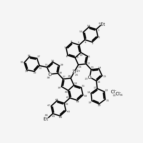 CCc1ccc(-c2cccc3c2C=C(c2ccc(-c4ccccc4)o2)[CH]3[Zr+2][CH]2C(c3ccc(-c4ccccc4)o3)=Cc3c(-c4ccc(CC)cc4)cccc32)cc1.[Cl-].[Cl-]